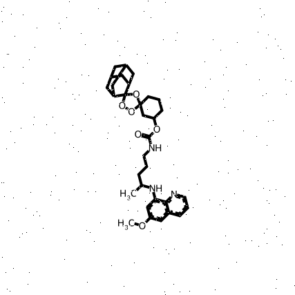 COc1cc(NC(C)CCCNC(=O)OC2CCCC3(C2)OOC2(O3)C3CC4CC(C3)CC2C4)c2ncccc2c1